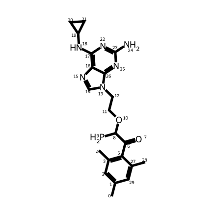 Cc1cc(C)c(C(=O)C(P)OCCn2cnc3c(NC4CC4)nc(N)nc32)c(C)c1